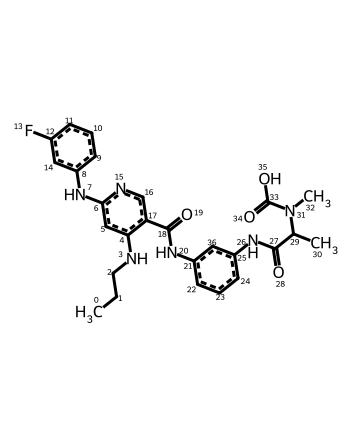 CCCNc1cc(Nc2cccc(F)c2)ncc1C(=O)Nc1cccc(NC(=O)C(C)N(C)C(=O)O)c1